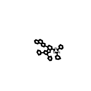 c1ccc(-c2cc(-c3ccccc3)c3c(c2)-c2c(-c4ccc5c(ccc6ccccc65)c4)ccc(-c4nc(-c5ccccc5)nc(-c5ccccc5)n4)c2C3)cc1